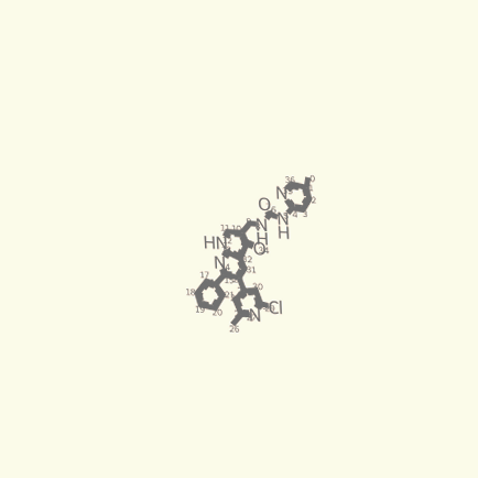 Cc1ccc(NC(=O)NCc2c[nH]c3nc(-c4ccccc4)c(-c4cc(C)nc(Cl)c4)cc3c2=O)nc1